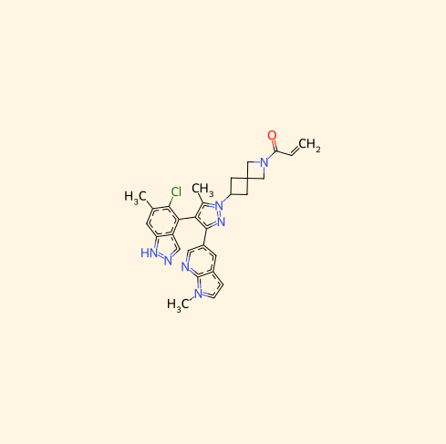 C=CC(=O)N1CC2(CC(n3nc(-c4cnc5c(ccn5C)c4)c(-c4c(Cl)c(C)cc5[nH]ncc45)c3C)C2)C1